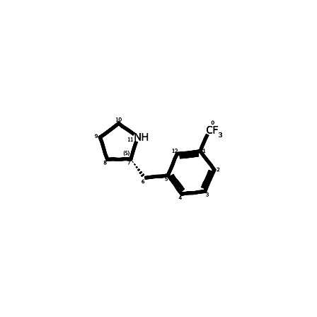 FC(F)(F)c1cccc(C[C@@H]2CCCN2)c1